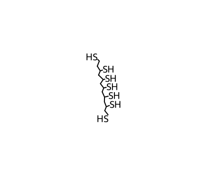 SCCC(S)CC(S)CC(S)CC(S)CC(S)CCS